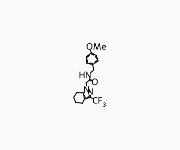 COc1ccc(CNC(=O)Cn2nc(C(F)(F)F)c3c2CCCC3)cc1